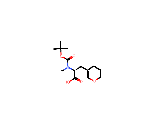 CN(C(=O)OC(C)(C)C)[C@@H](CC1=COCCC1)C(=O)O